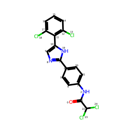 O=C(Nc1ccc(-c2ncc(-c3c(Cl)cccc3Cl)[nH]2)cc1)C(Cl)Cl